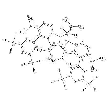 CC(C)CC1=Cc2c(ccc(C(C)C)c2-c2cc(C(F)(F)F)cc(C(F)(F)F)c2)[CH]1[Zr]([Cl])([Cl])([CH]1C(CC(C)C)=Cc2c1ccc(C(C)C)c2-c1cc(C(F)(F)F)cc(C(F)(F)F)c1)[SiH](C)C